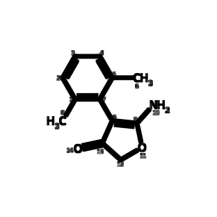 Cc1cccc(C)c1C1=C(N)OCC1=O